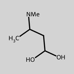 CNC(C)CC(O)O